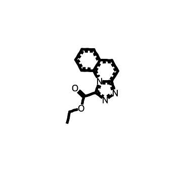 CCOC(=O)c1nnc2ccc3ccccc3n12